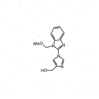 COCn1c(-n2cnc(CO)c2)nc2ccccc21